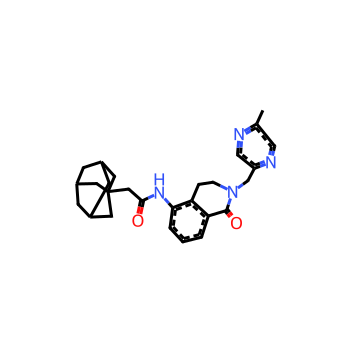 Cc1cnc(CN2CCc3c(NC(=O)CC45CC6CC(CC(C6)C4)C5)cccc3C2=O)cn1